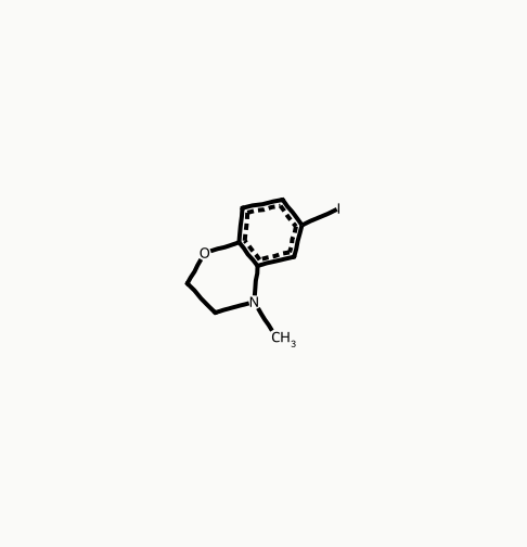 CN1CCOc2ccc(I)cc21